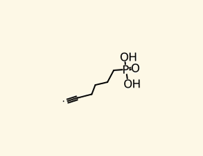 [C]#CCCCCP(=O)(O)O